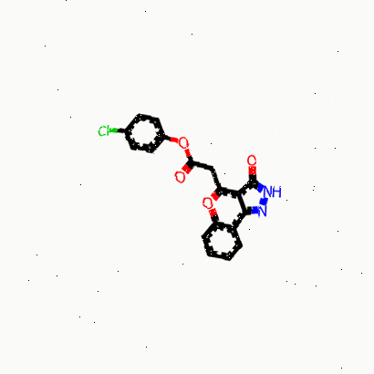 O=C(Cc1oc2ccccc2c2n[nH]c(=O)c1-2)Oc1ccc(Cl)cc1